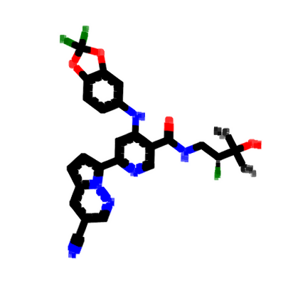 CC(C)(O)[C@H](F)CNC(=O)c1cnc(-c2ccc3cc(C#N)cnn23)cc1Nc1ccc2c(c1)OC(F)(F)O2